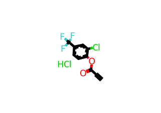 C#CC(=O)Oc1ccc(C(F)(F)F)cc1Cl.Cl